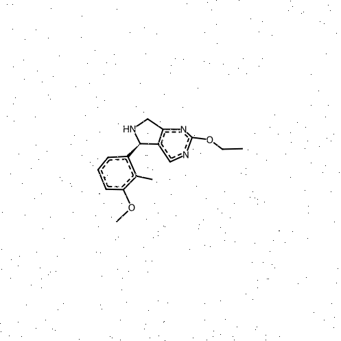 CCOc1ncc2c(n1)CN[C@@H]2c1cccc(OC)c1C